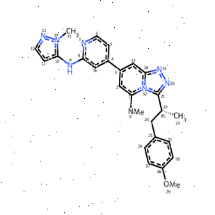 CNc1cc(-c2ccnc(Nc3ccnn3C)c2)cc2nnc([C@H](C)Cc3ccc(OC)cc3)n12